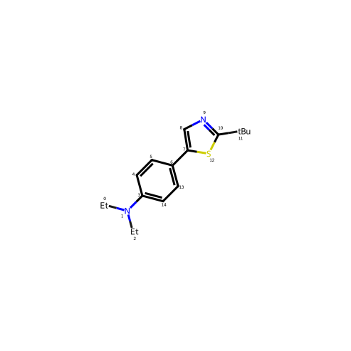 CCN(CC)c1ccc(-c2cnc(C(C)(C)C)s2)cc1